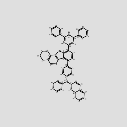 C1=Cc2c(ccc3c2oc2c(C4=NC(c5ccccc5)NC(c5ccccc5)=N4)ccc(-c4ccc(N(c5ccccc5)c5ccc6ccccc6c5)cc4)c23)CC1